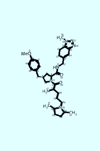 COc1ccc(C[C@H]2CC(C(=O)NCC3=Cc4nnn(C)c4CC3)N(C(=O)C(N)CCCN3C(C)CCC3C)C2)cc1